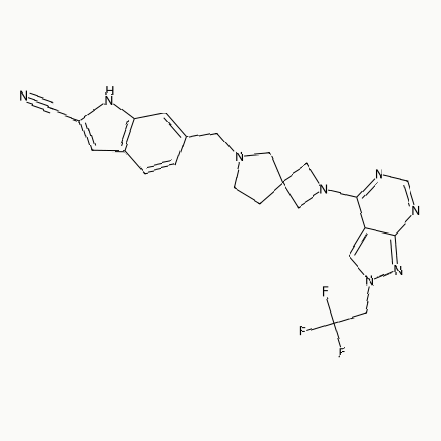 N#Cc1cc2ccc(CN3CCC4(C3)CN(c3ncnc5nn(CC(F)(F)F)cc35)C4)cc2[nH]1